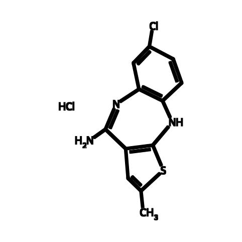 Cc1cc2c(s1)Nc1ccc(Cl)cc1N=C2N.Cl